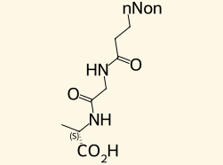 CCCCCCCCCCCC(=O)NCC(=O)N[C@@H](C)C(=O)O